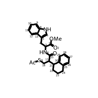 COC(=O)C(Cc1c[nH]c2ccccc12)NC(=O)C(CSC(C)=O)C1CCCc2ccccc21